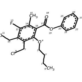 CCCCOc1c(CCl)c(CCl)c(F)c(C)c1C(=O)Oc1ccccc1